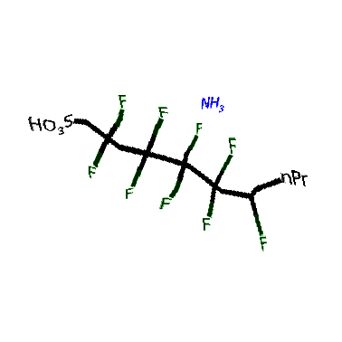 CCCC(F)C(F)(F)C(F)(F)C(F)(F)C(F)(F)S(=O)(=O)O.N